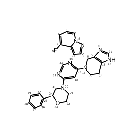 Fc1cccn2nc([C@@H]3c4nc[nH]c4CCN3c3cc(N4CCO[C@@H](c5ccccc5)C4)ncn3)cc12